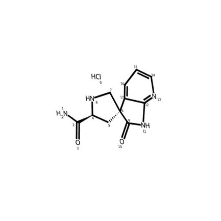 Cl.NC(=O)[C@@H]1C[C@@]2(CN1)C(=O)Nc1ncccc12